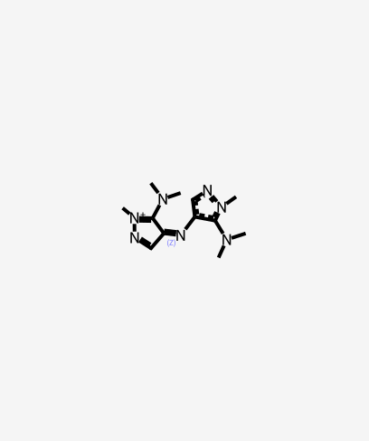 CN(C)C1=[N+](C)N=C/C1=N/c1cnn(C)c1N(C)C